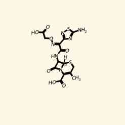 CC1=C(C(=O)O)N2C(=O)C(NC(=O)C(=NOCC(=O)O)c3nsc(N)n3)[C@@H]2SC1